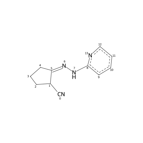 N#CC1CCC/C1=N/Nc1ccccn1